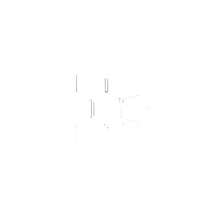 CC(C)C1=C(C(C)C)C(=O)N2CCSC2N1